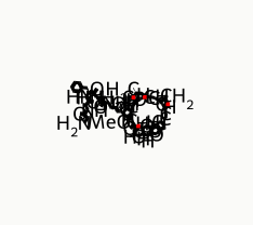 C=C1C[C@@H]2CC[C@@]34CC5OC6C(O[C@H]7CC[C@H](CC(=O)C[C@@H]8[C@@H](OC)[C@@H](C[C@H](O)CNC(=O)CNC(=O)[C@H](Cc9ccccc9)NC(=O)CNC(=O)CN)O[C@H]8C[C@H]8O[C@@H](CC[C@@H]1O2)C[C@@H](C)C8=C)O[C@@H]7[C@@H]6O3)[C@@H]5O4